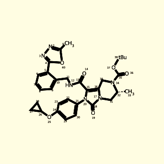 Cc1nnc(-c2ccccc2CNC(=O)c2c3n(c(=O)n2-c2ccc(OC4CC4)cc2)C[C@@H](C)N(C(=O)OC(C)(C)C)C3)o1